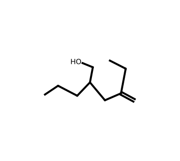 C=C(CC)CC(CO)CCC